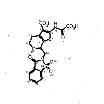 O=C(O)C(=O)Nc1sc2c(c1C(=O)O)CCOC2CN1C(=O)c2ccccc2S1(=O)=O